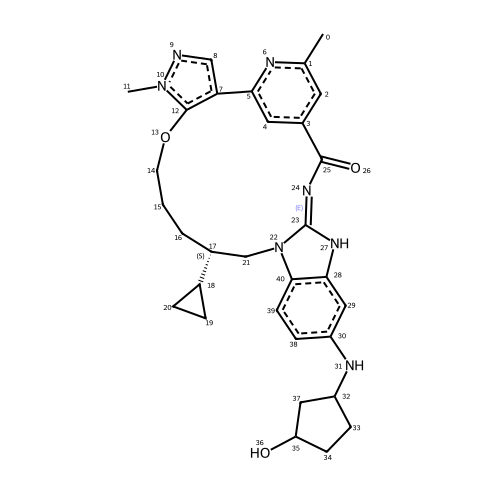 Cc1cc2cc(n1)-c1cnn(C)c1OCCC[C@@H](C1CC1)CN1/C(=N/C2=O)Nc2cc(NC3CCC(O)C3)ccc21